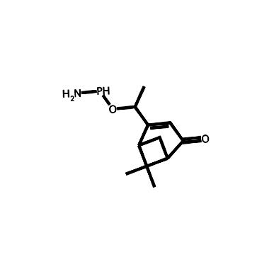 CC(OPN)C1=CC(=O)C2CC1C2(C)C